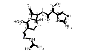 N=C(N)N/N=C\C1=C(C(=O)O)N2C(=O)C(NC(=O)C(=NO)c3c[nH]c(N)n3)[C@@H]2SC1